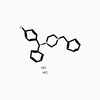 Cl.Cl.Clc1ccc([C@H](c2ccccc2)N2CCN(Cc3ccccc3)CC2)cc1